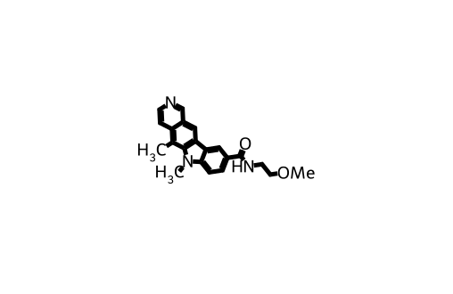 COCCNC(=O)c1ccc2c(c1)c1cc3cnccc3c(C)c1n2C